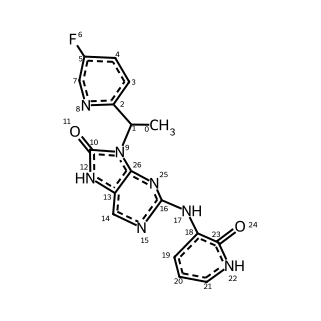 CC(c1ccc(F)cn1)n1c(=O)[nH]c2cnc(Nc3ccc[nH]c3=O)nc21